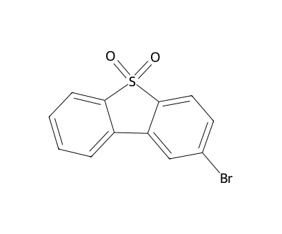 O=S1(=O)c2ccccc2-c2cc(Br)ccc21